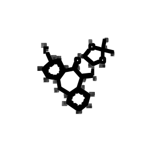 CC1(C)OC[C@@H](/C=C2\C(=O)c3cc(F)ccc3Cc3ccccc32)O1